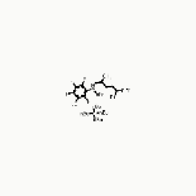 CCCC(CC)CCC(C)C[PH+](CCC)c1c(F)c(C)c(F)c(F)c1F.CCC[CH2][Al-]([CH2]CCC)([CH2]CCC)[CH2]CCC